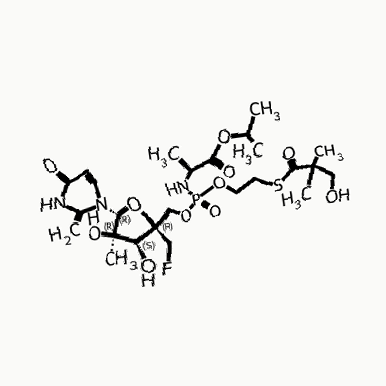 C=C1NC(=O)C=CN1[C@@H]1O[C@](CF)(COP(=O)(NC(C)C(=O)OC(C)C)OCCSC(=O)C(C)(C)CO)[C@@H](O)[C@@]1(C)O